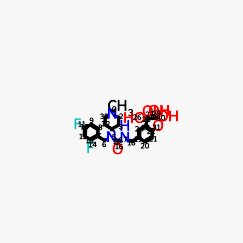 CN1CCC(N(Cc2ccc(F)cc2F)C(=O)NCc2ccc3c(c2)C(O)(O)C(O)(O)O3)CC1